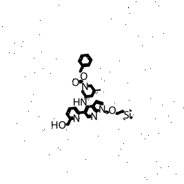 C[C@H]1C[C@@H](Nc2c(-c3cccc(CO)n3)cnc3c2ccn3COCC[Si](C)(C)C)CN(C(=O)OCc2ccccc2)C1